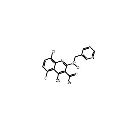 CC(C)C(=O)c1c([S+]([O-])Cc2cncnc2)nc2c(Cl)ccc(Cl)c2c1C#N